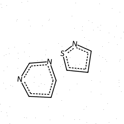 c1cncnc1.c1cnsc1